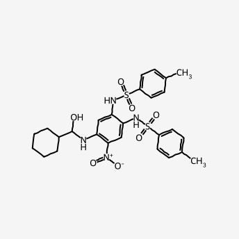 Cc1ccc(S(=O)(=O)Nc2cc(NC(O)C3CCCCC3)c([N+](=O)[O-])cc2NS(=O)(=O)c2ccc(C)cc2)cc1